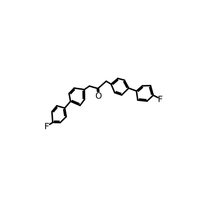 O=C(Cc1ccc(-c2ccc(F)cc2)cc1)Cc1ccc(-c2ccc(F)cc2)cc1